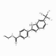 CCOC(=O)c1ccc(-c2cc3ccc(C(F)(F)F)cc3[nH]2)cc1